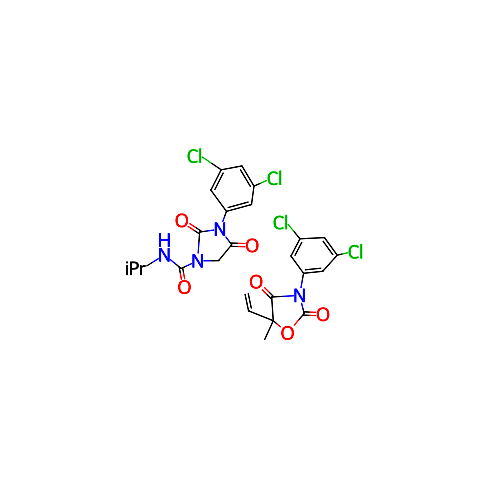 C=CC1(C)OC(=O)N(c2cc(Cl)cc(Cl)c2)C1=O.CC(C)NC(=O)N1CC(=O)N(c2cc(Cl)cc(Cl)c2)C1=O